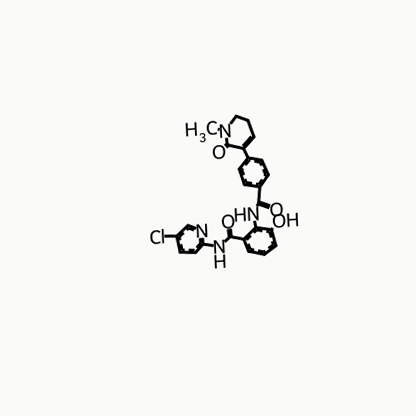 CN1CCC=C(c2ccc(C(=O)Nc3c(O)cccc3C(=O)Nc3ccc(Cl)cn3)cc2)C1=O